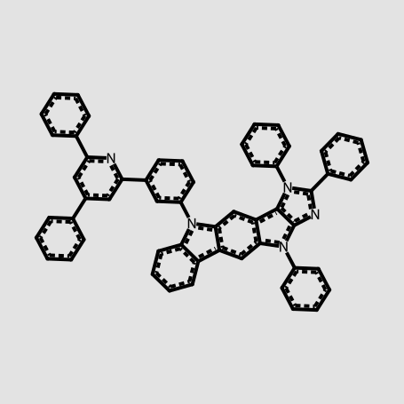 c1ccc(-c2cc(-c3ccccc3)nc(-c3cccc(-n4c5ccccc5c5cc6c(cc54)c4c(nc(-c5ccccc5)n4-c4ccccc4)n6-c4ccccc4)c3)c2)cc1